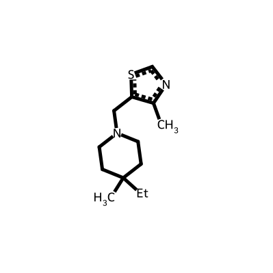 CCC1(C)CCN(Cc2scnc2C)CC1